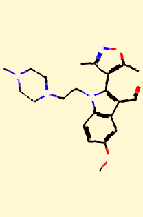 COc1ccc2c(c1)c(C=O)c(-c1c(C)noc1C)n2CCN1CCN(C)CC1